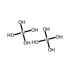 O[Si](O)(O)O.O[Si](O)(O)O